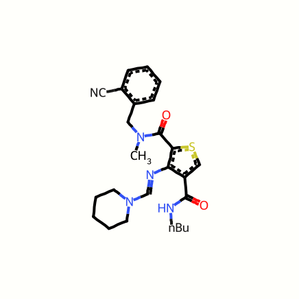 CCCCNC(=O)c1csc(C(=O)N(C)Cc2ccccc2C#N)c1/N=C/N1CCCCC1